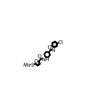 CSc1ccc(C(=O)NC2CCC(c3nc4cc(Cl)ccc4o3)CC2)o1